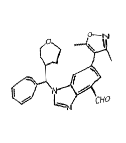 Cc1noc(C)c1-c1cc(C=O)c2ncn(C(c3ccccc3)C3CCOCC3)c2c1